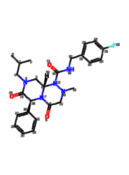 CC(C)CN1C[C@H]2N(C(=O)CN(C)N2C(=O)NCc2ccc(F)cc2)[C@@H](c2ccccc2)C1=O